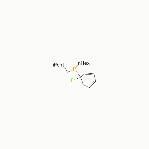 CCCCCCP(CC(C)CCC)C1(F)C=CC=CC1